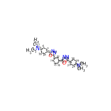 CCN(CC)c1ccc(-c2nnc(-c3cccc(-c4nnc(-c5ccc(N(C)C)cc5)o4)c3)o2)cc1